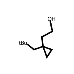 CC(C)(C)CC1(CCO)CC1